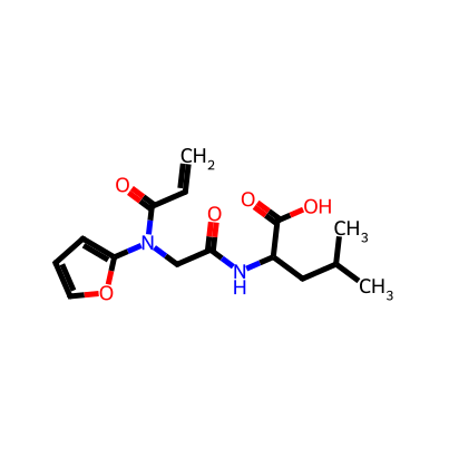 C=CC(=O)N(CC(=O)NC(CC(C)C)C(=O)O)c1ccco1